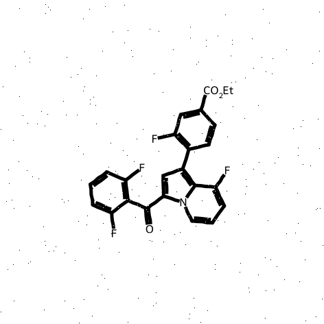 CCOC(=O)c1ccc(-c2cc(C(=O)c3c(F)cccc3F)n3cccc(F)c23)c(F)c1